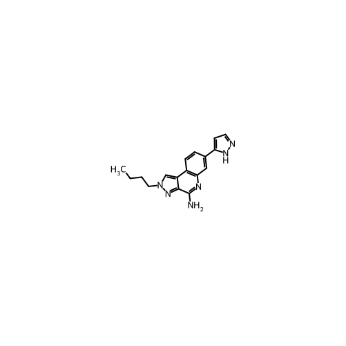 CCCCn1cc2c(n1)c(N)nc1cc(-c3ccn[nH]3)ccc12